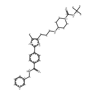 Cc1oc(-c2ccc(C(=O)NCc3cccnc3)cc2)nc1CCCOC1CCN(C(=O)OC(C)(C)C)CC1